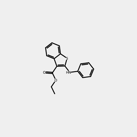 CCOC(=O)c1c(Nc2ccccc2)sc2ccccc12